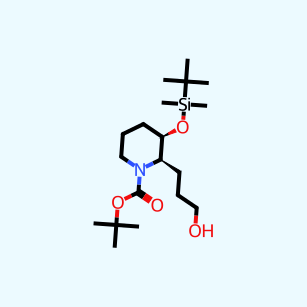 CC(C)(C)OC(=O)N1CCC[C@@H](O[Si](C)(C)C(C)(C)C)[C@H]1CCCO